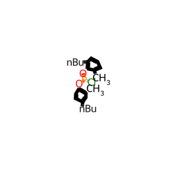 CCCCc1ccc(OP(Cl)Oc2c(C)cccc2CCCC)c(C)c1